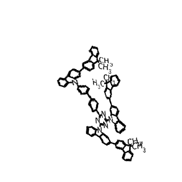 CC1(C)c2ccccc2-c2cc(-c3ccc4c5ccccc5n(-c5ccc(-c6ccc(-c7nc(-n8c9ccccc9c9ccc(-c%10ccc%11c(c%10)-c%10ccccc%10C%11(C)C)cc98)nc(-n8c9ccccc9c9ccc(-c%10ccc%11c(c%10)-c%10ccccc%10C%11(C)C)cc98)n7)cc6)cc5)c4c3)ccc21